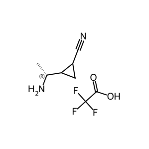 C[C@@H](N)C1CC1C#N.O=C(O)C(F)(F)F